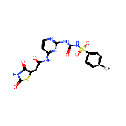 Cc1ccc(S(=O)(=O)NC(=O)Nc2nccc(NC(=O)CC3SC(=O)NC3=O)n2)cc1